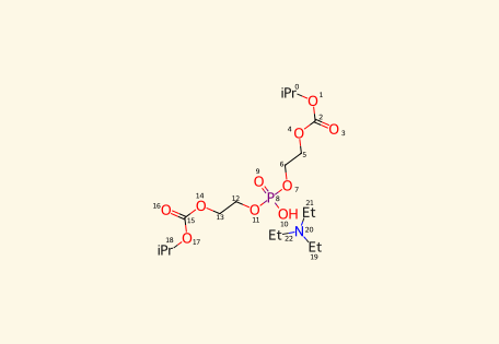 CC(C)OC(=O)OCCOP(=O)(O)OCCOC(=O)OC(C)C.CCN(CC)CC